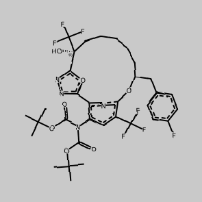 CC(C)(C)OC(=O)N(C(=O)OC(C)(C)C)c1cc(C(F)(F)F)c2nc1-c1nnc(o1)[C@@](O)(C(F)(F)F)CCCCCC(Cc1ccc(F)cc1)O2